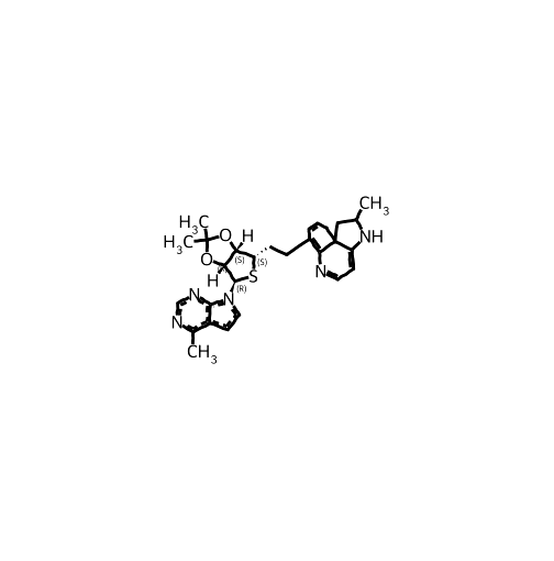 Cc1ncnc2c1ccn2[C@@H]1S[C@@H](CCC2=C3N=CC=C4NC(C)CC43CC=C2)[C@H]2OC(C)(C)O[C@H]21